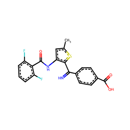 Cc1cc(NC(=O)c2c(F)cccc2F)c(C(=N)c2ccc(C(=O)O)cc2)s1